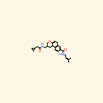 CC(C)=CCNC(=O)c1ccc2c(c1)CC=C1OCC(CNC(=O)CC3CC3)CC12